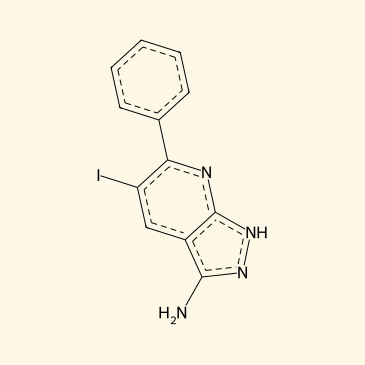 Nc1n[nH]c2nc(-c3ccccc3)c(I)cc12